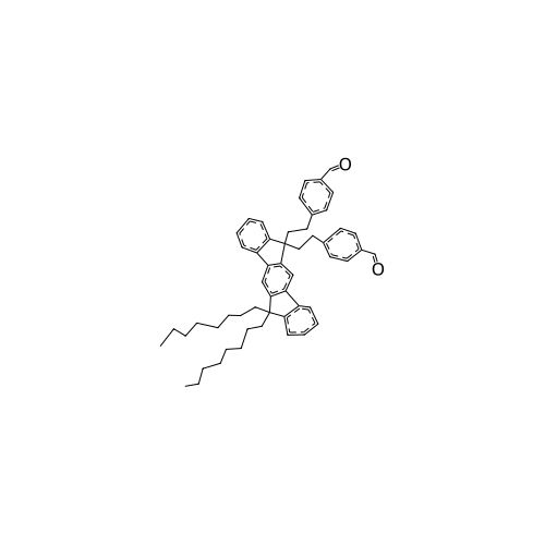 CCCCCCCCC1(CCCCCCCC)c2ccccc2-c2cc3c(cc21)-c1ccccc1C3(CCc1ccc(C=O)cc1)CCc1ccc(C=O)cc1